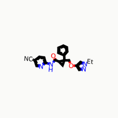 CCn1cc(OCC2(c3ccccc3)CC2C(=O)Nc2ccc(C#N)cn2)cn1